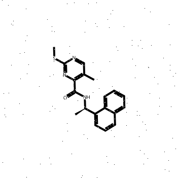 CSc1ncc(C)c(C(=O)N[C@H](C)c2cccc3ccccc23)n1